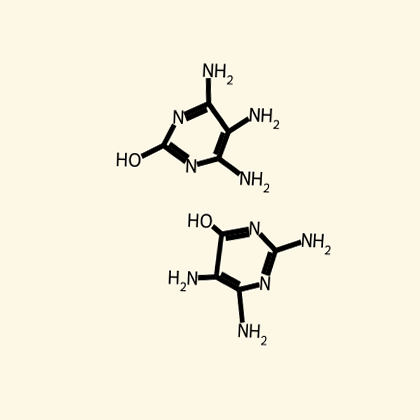 Nc1nc(N)c(N)c(O)n1.Nc1nc(O)nc(N)c1N